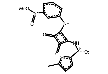 CC[C@@H](Nc1c(Nc2cccc([N+](=O)OC)c2)c(=O)c1=O)c1ccc(C)o1